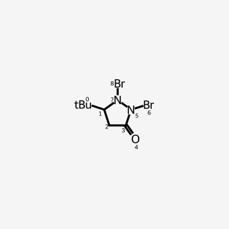 CC(C)(C)C1CC(=O)N(Br)N1Br